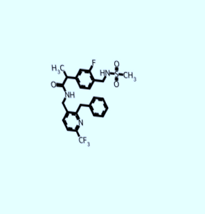 CC(C(=O)NCc1ccc(C(F)(F)F)nc1Cc1ccccc1)c1ccc(CNS(C)(=O)=O)c(F)c1